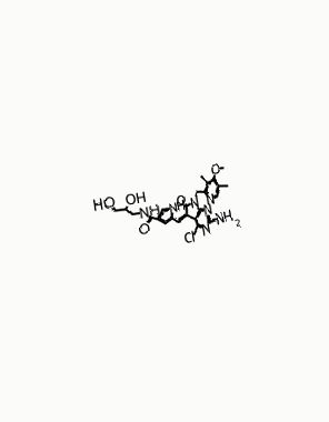 COc1c(C)cnc(CN2C(=O)C(=Cc3cc(C(=O)NCC(O)CO)c[nH]3)c3c(Cl)nc(N)nc32)c1C